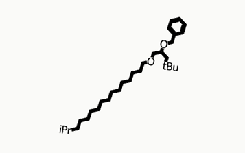 CC(C)CCCCCCCCCCCCCCOCC(CC(C)(C)C)OCc1ccccc1